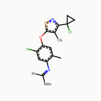 CNC(=Nc1cc(Cl)c(Oc2snc(C3(Cl)CC3)c2C#N)cc1C)C(C)C